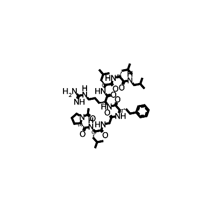 CC(=O)N1CCC[C@H]1C(=O)N[C@@H](CC(C)C)C(=O)NCC(=O)N[C@@H](CCc1ccccc1)C(=O)N[C@@H](CCCNC(=N)N)C(=O)N[C@@H](CC(C)C)C(=O)N[C@H](CC(C)C)C(=O)NCC(C)C